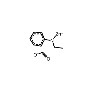 CC[N]([Zn+])c1ccccc1.O=C[O-]